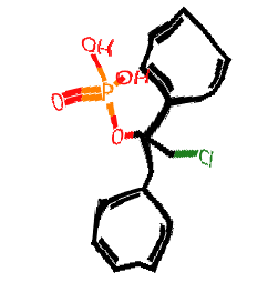 O=P(O)(O)OC(Cl)(c1ccccc1)c1ccccc1